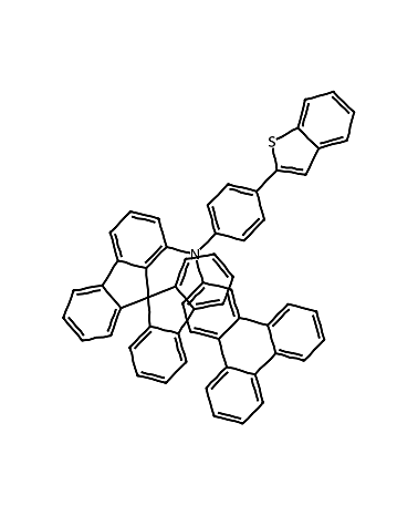 c1ccc2c(c1)-c1ccccc1C21c2ccccc2-c2cccc(N(c3ccc(-c4cc5ccccc5s4)cc3)c3ccc4c5ccccc5c5ccccc5c4c3)c21